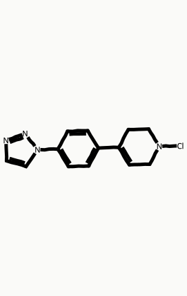 ClN1CC=C(c2ccc(-n3ccnn3)cc2)CC1